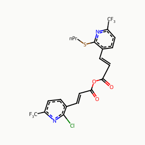 CCCSc1nc(C(F)(F)F)ccc1C=CC(=O)OC(=O)C=Cc1ccc(C(F)(F)F)nc1Cl